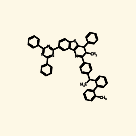 Cc1ccccc1-c1ccccc1C(C)c1ccc(C2=Nc3c(sc4ccc(-c5nc(-c6ccccc6)nc(-c6ccccc6)n5)cc34)C(c3ccccc3)C2C)cc1